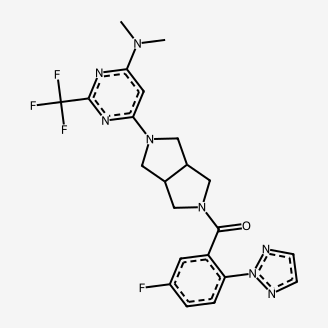 CN(C)c1cc(N2CC3CN(C(=O)c4cc(F)ccc4-n4nccn4)CC3C2)nc(C(F)(F)F)n1